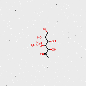 CC(=O)[C@H](O)[C@@H](O)[C@H](O)[C@H](O)CO.O.O